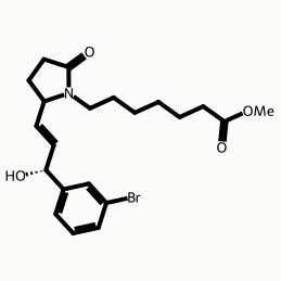 COC(=O)CCCCCCN1C(=O)CCC1/C=C/[C@@H](O)c1cccc(Br)c1